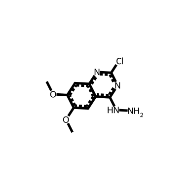 COc1cc2nc(Cl)nc(NN)c2cc1OC